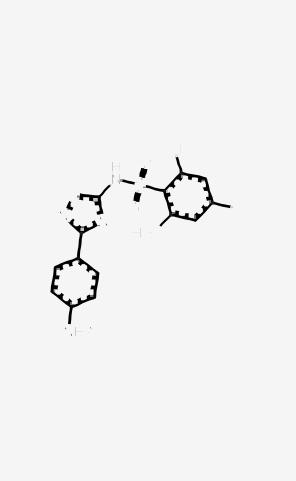 CC(=O)Nc1ccc(-c2nsc(NS(=O)(=O)c3c(C)cc(Cl)cc3Cl)n2)cc1